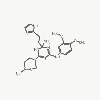 COc1ccc(NC2=NC(N)(CCc3ncc[nH]3)NC(N3CCN(C)CC3)=N2)cc1OC